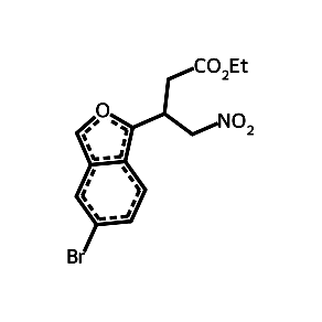 CCOC(=O)CC(C[N+](=O)[O-])c1occ2cc(Br)ccc12